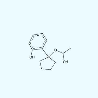 CC(O)OC1(c2ccccc2O)CCCC1